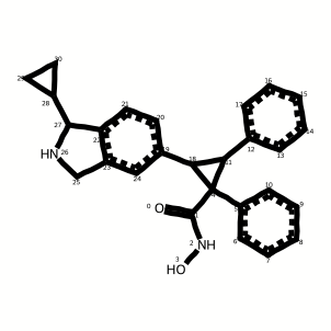 O=C(NO)C1(c2ccccc2)C(c2ccccc2)C1c1ccc2c(c1)CNC2C1CC1